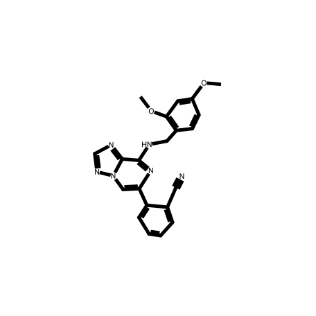 COc1ccc(CNc2nc(-c3ccccc3C#N)cn3ncnc23)c(OC)c1